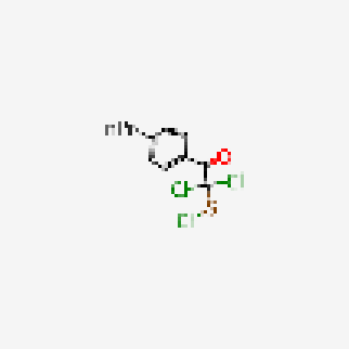 CCCc1ccc(C(=O)C(Cl)(Cl)SCl)cc1